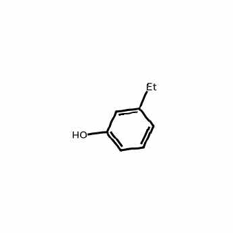 [CH2]Cc1cccc(O)c1